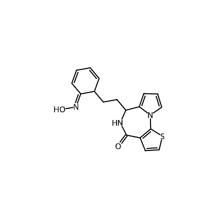 O=C1NC(CCC2C=CC=C/C2=N\O)c2cccn2-c2sccc21